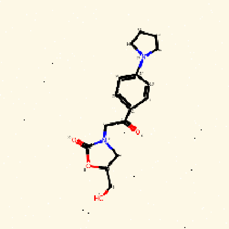 O=C(CN1CC(CO)OC1=O)c1ccc(N2CCCC2)cc1